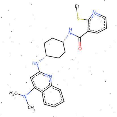 CCSc1ncccc1C(=O)N[C@H]1CC[C@@H](Nc2cc(N(C)C)c3ccccc3n2)CC1